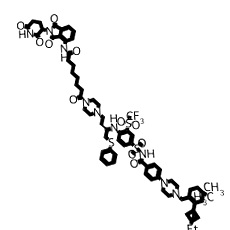 CCC12CC(C3=C(CN4CCN(c5ccc(C(=O)NS(=O)(=O)c6ccc(N[C@H](CCN7CCN(C(=O)CCCCCCC(=O)Nc8cccc9c8C(=O)N(C8CCC(=O)NC8=O)C9=O)CC7)CSc7ccccc7)c(S(=O)(=O)C(F)(F)F)c6)cc5)CC4)CCC(C)(C)C3)(C1)C2